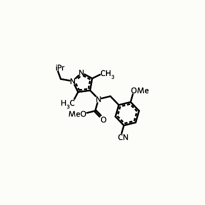 COC(=O)N(Cc1cc(C#N)ccc1OC)c1c(C)nn(CC(C)C)c1C